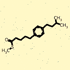 CSC(=O)CCCCc1ccc(CCC(C)C)cc1